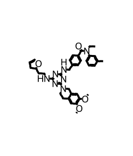 CCN(C(=O)c1ccc(CNc2nc(NCCC3CC=CO3)nc(N3CCc4cc(OC)c(OC)cc4C3)n2)cc1)c1cccc(C)c1